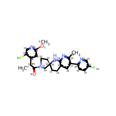 COc1cc([C@@H](C)C(=O)N2CC[C@@]3(CCc4cc(-c5ccc(F)cn5)c(C)nc4N3)C2)c(F)cn1